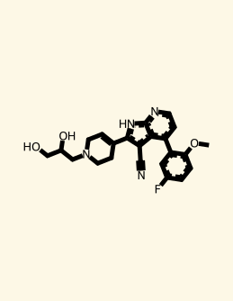 COc1ccc(F)cc1-c1ccnc2[nH]c(C3=CCN(CC(O)CO)CC3)c(C#N)c12